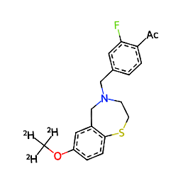 [2H]C([2H])([2H])Oc1ccc2c(c1)CN(Cc1ccc(C(C)=O)c(F)c1)CCS2